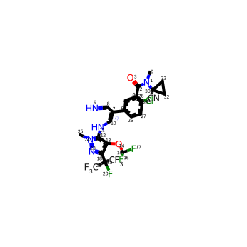 CN(C(=O)c1cc(/C(C=N)=C/Nc2c(OC(F)F)c(C(F)(C(F)(F)F)C(F)(F)F)nn2C)ccc1Cl)C1(C#N)CC1